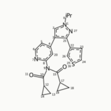 CC(C)n1cc(-c2ccnc(N(C(=O)C3CC3)C(=O)C3CC3)c2)c(-c2ccsc2)n1